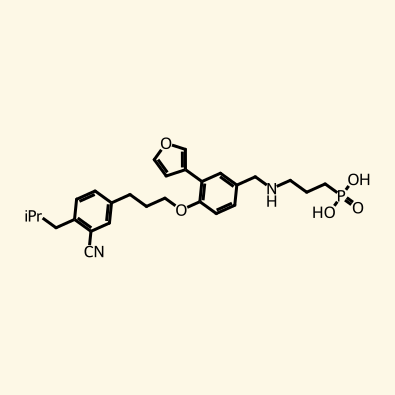 CC(C)Cc1ccc(CCCOc2ccc(CNCCCP(=O)(O)O)cc2-c2ccoc2)cc1C#N